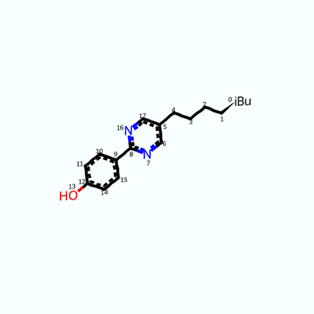 CC[C@H](C)CCCCc1cnc(-c2ccc(O)cc2)nc1